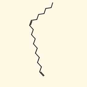 C=CCCCCCCCCC/C=C\CCCCCC